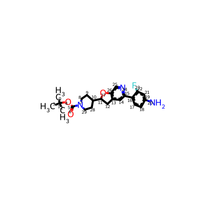 CC(C)(C)OC(=O)N1CCC(C2Cc3cc(-c4ccc(N)cc4F)ncc3O2)CC1